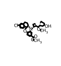 COC(=O)c1ccc2c(c1)N(C[C@@H]1CC[C@H]1[C@@H](OC)[C@@H]1CCC[C@H](O)C1)C[C@@]1(CCCc3cc(Cl)ccc31)CO2